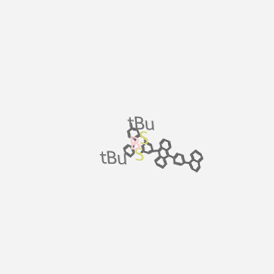 CC(C)(C)c1ccc2c(c1)Sc1cc(-c3c4ccccc4c(-c4ccc(-c5cccc6ccccc56)cc4)c4ccccc34)cc3c1B2c1ccc(C(C)(C)C)cc1S3